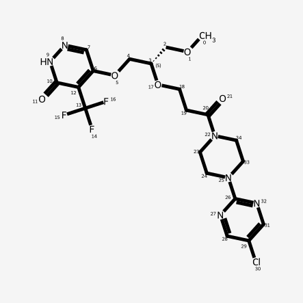 COC[C@@H](COc1cn[nH]c(=O)c1C(F)(F)F)OCCC(=O)N1CCN(c2ncc(Cl)cn2)CC1